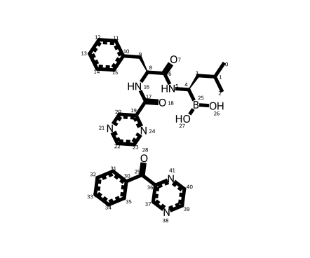 CC(C)C[C@H](NC(=O)[C@H](Cc1ccccc1)NC(=O)c1cnccn1)B(O)O.O=C(c1cc[c]cc1)c1cnccn1